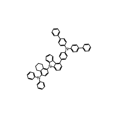 c1ccc(-c2ccc(N(c3ccc(-c4ccccc4)cc3)c3ccc(-c4cccc5c4c4ccccc4n5-c4ccc(N(c5ccccc5)c5ccccc5)c5c4CCCC5)cc3)cc2)cc1